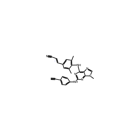 C#Cc1ccc(Nc2nc(Nc3c(C)cc(/C=C/C#N)cc3C)c3ncn(C)c3n2)cc1